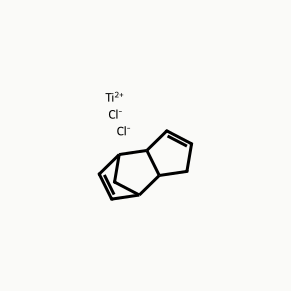 C1=CC2C3C=CC(C3)C2C1.[Cl-].[Cl-].[Ti+2]